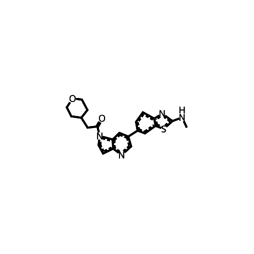 CNc1nc2ccc(-c3cnc4ccn(C(=O)CC5CCOCC5)c4c3)cc2s1